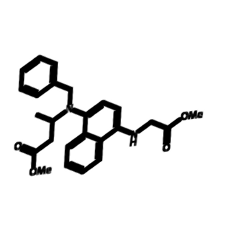 COC(=O)CNc1ccc(N(Cc2ccccc2)C(C)CC(=O)OC)c2ccccc12